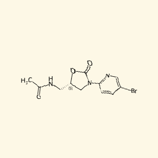 CC(=O)NC[C@H]1CN(c2ccc(Br)cn2)C(=O)O1